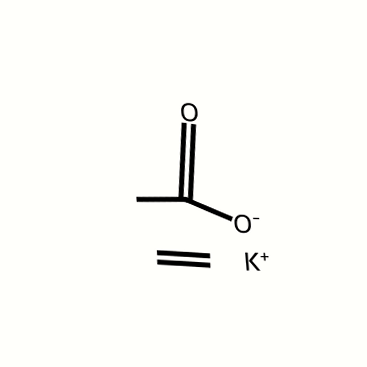 C=C.CC(=O)[O-].[K+]